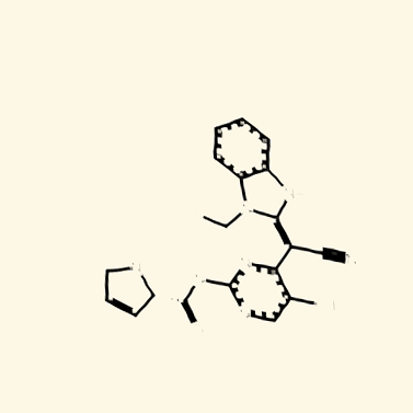 CCN1C(=C(C#N)c2nc(NC(=O)[C@@H]3C=CCN3)ncc2C)Nc2ccccc21